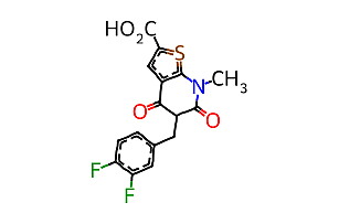 CN1C(=O)C(Cc2ccc(F)c(F)c2)C(=O)c2cc(C(=O)O)sc21